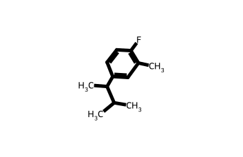 Cc1cc(C(C)C(C)C)ccc1F